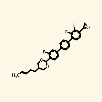 C/C=C/CCC1COC(c2ccc(-c3ccc(-c4ccc(C5CO5)c(F)c4F)cc3)cc2F)OC1